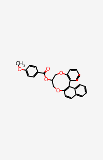 COc1ccc(C(=O)OC2COc3ccc4ccccc4c3-c3c(ccc4ccccc34)OC2)cc1